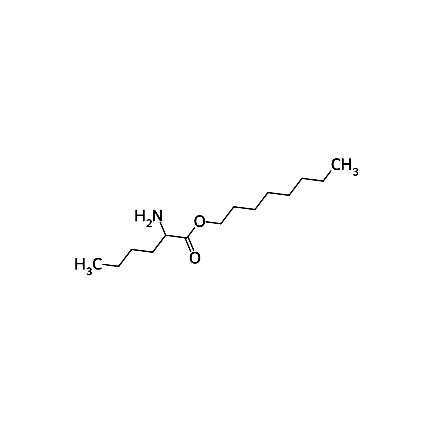 CCCCCCCCOC(=O)C(N)CCCC